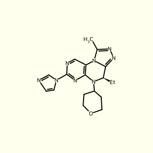 CC[C@@H]1c2nnc(C)n2-c2cnc(-n3ccnc3)nc2N1C1CCOCC1